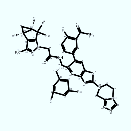 NC(=O)c1cc(-c2cc3sc(N4CCn5cnnc5C4)nc3nc2[C@H](Cc2cc(F)cc(F)c2)NC(=O)Cn2nc(C(F)(F)F)c3c2C(F)(F)[C@@H]2C[C@H]32)ccc1F